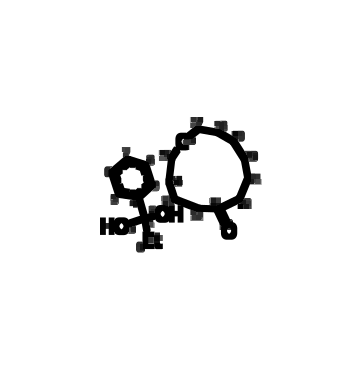 CCC(O)(O)c1ccccc1.O=C1CCCCCCCCCCC1